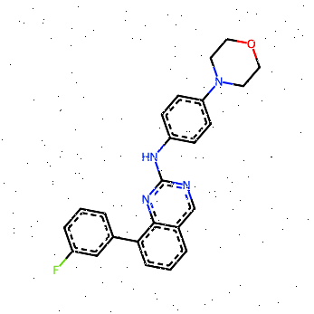 Fc1cccc(-c2cccc3cnc(Nc4ccc(N5CCOCC5)cc4)nc23)c1